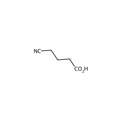 N#CCC[CH]C(=O)O